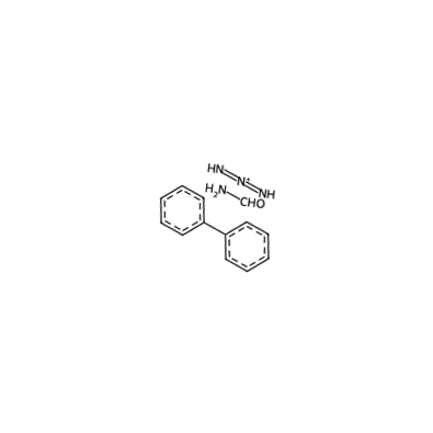 N=[N+]=N.NC=O.c1ccc(-c2ccccc2)cc1